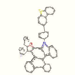 C=Cc1oc2c(c1/C=C\C)c1c3ccccc3c3ccccc3c1c1c3ccccc3n(-c3ccc(-c4ccc5sc6ccccc6c5c4)cc3)c21